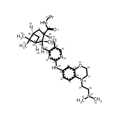 CC(C)NC(=O)[C@H]1C[C@H]2C[C@H](C2(C)C)[C@@]1(C)Nc1nc(Nc2ccc3c(c2)OCCN3CCN(C)C)ncc1Cl